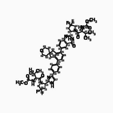 COC(=O)N[C@H](C(=O)N1CC(F)(F)CC1c1nc(-c2ccc(-c3ccc(-c4ccc5nc([C@@H]6CC(F)(F)CN6C(=O)[C@@H](NC(=O)OC)C(C)C)[nH]c(=O)c5c4)c4c3CC3(CCOCC3)C4)cc2)c[nH]1)C(C)C